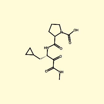 CNC(=O)C(=O)[C@H](CC1CC1)NC(=O)C1CCCN1C(=O)O